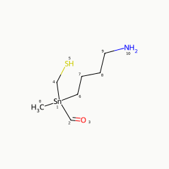 [CH3][Sn]([CH]=O)([CH2]S)[CH2]CCCN